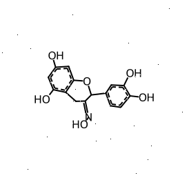 ON=C1Cc2c(O)cc(O)cc2OC1c1ccc(O)c(O)c1